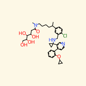 CC(CCCCN(C)C(=O)CC(O)C(O)C(O)CO)c1ccc(Cl)c(CNC2(c3cnccc3-c3ccccc3OC3CC3)CC2)c1